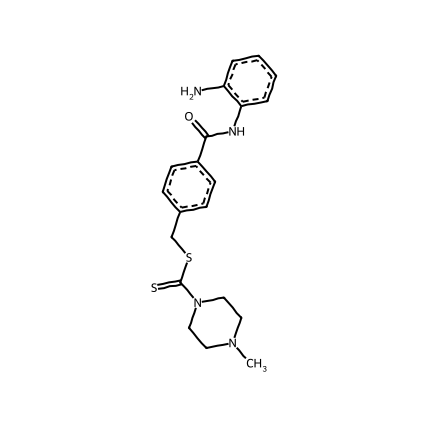 CN1CCN(C(=S)SCc2ccc(C(=O)Nc3ccccc3N)cc2)CC1